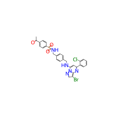 CC(=O)c1ccc(S(=O)(=O)NCc2ccc(CNc3cc(-c4ccccc4Cl)nc4c(Br)cnn34)cc2)cc1